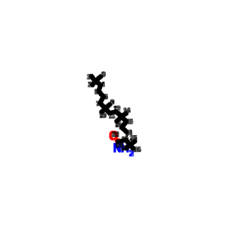 CC(C)(C)CCCCC(C)(C)CCC(C)(C)CCC[C@@H](C(N)=O)C(C)(C)C